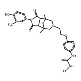 CCNC(=O)Nc1ccc(OCCN2CC3(C)OC(C)(C2)C2C(=O)N(c4ccc(C#N)c(C(F)(F)F)c4)C(=O)C23)cc1